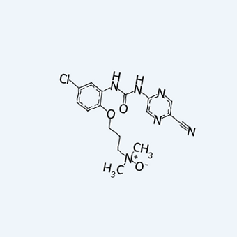 C[N+](C)([O-])CCCOc1ccc(Cl)cc1NC(=O)Nc1cnc(C#N)cn1